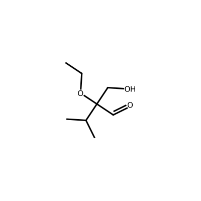 CCOC(C=O)(CO)C(C)C